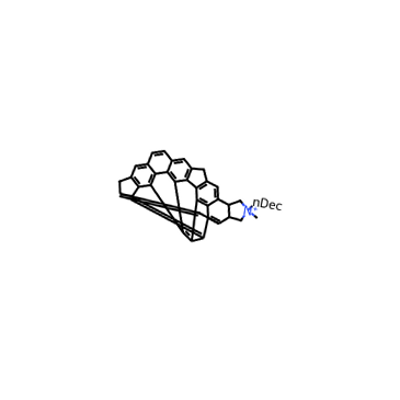 CCCCCCCCCC[N+]1(C)CC2c3cc4c5c6c(cc7ccc8cc9c%10c%11c(cc(c%12c3c5c(c%12%11)c3c6c7c8c%103)C2C1)C9)C4